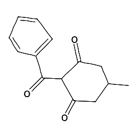 CC1CC(=O)C(C(=O)c2ccccc2)C(=O)C1